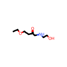 CCOCCC(=O)CNCCO